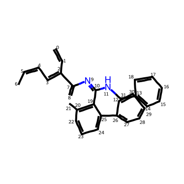 C=C/C(=C\C=C/C)C(=C)/N=C(/NCc1ccccc1)c1c(C)cccc1-c1ccccc1